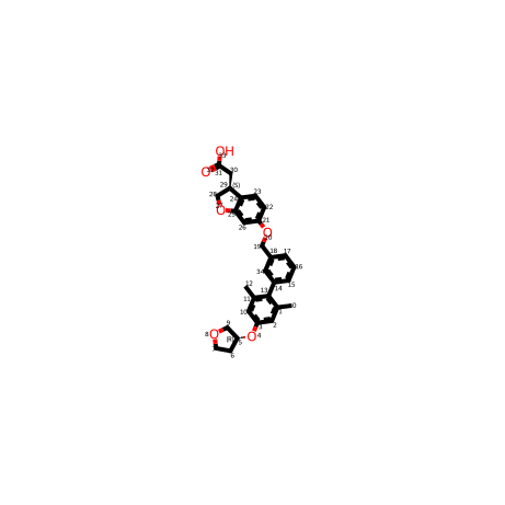 Cc1cc(O[C@@H]2CCOC2)cc(C)c1-c1cccc(COc2ccc3c(c2)OC[C@H]3CC(=O)O)c1